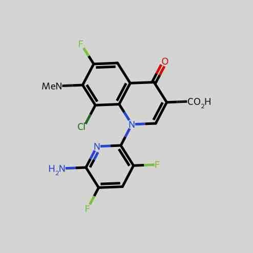 CNc1c(F)cc2c(=O)c(C(=O)O)cn(-c3nc(N)c(F)cc3F)c2c1Cl